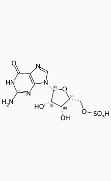 Nc1nc2c(ncn2[C@@H]2O[C@H](COS(=O)(=O)O)[C@H](O)[C@@H]2O)c(=O)[nH]1